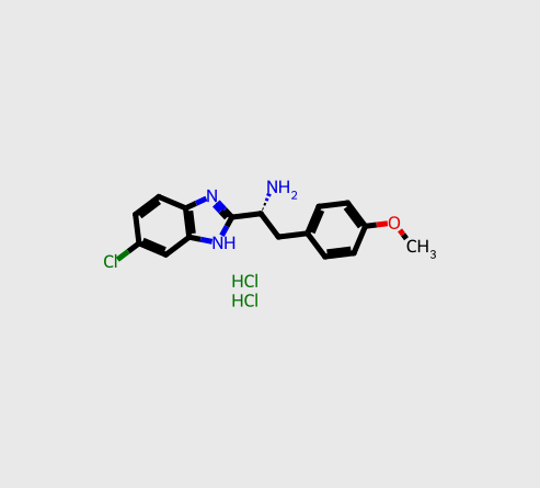 COc1ccc(C[C@@H](N)c2nc3ccc(Cl)cc3[nH]2)cc1.Cl.Cl